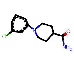 NC(=O)C1CCN(c2cccc(Cl)c2)CC1